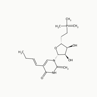 C=C1NC(=O)C(/C=C/CC)=CN1[C@@H]1O[C@H](CCP(=C)(C)C)[C@@H](O)[C@H]1O